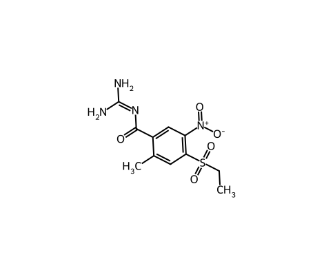 CCS(=O)(=O)c1cc(C)c(C(=O)N=C(N)N)cc1[N+](=O)[O-]